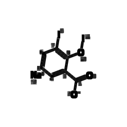 O=C([O-])c1cccc(I)c1OI.[Na+]